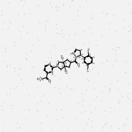 NC(=O)c1ccnc(N2C[C@H]3CC(C(=O)N4N=CC[C@H]4c4cc(F)ccc4F)C[C@@H]3C2)n1